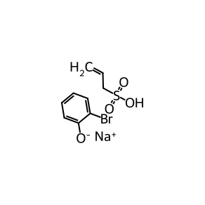 C=CCS(=O)(=O)O.[Na+].[O-]c1ccccc1Br